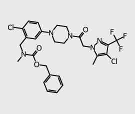 Cc1c(Cl)c(C(F)(F)F)nn1CC(=O)N1CCN(c2ccc(Cl)c(CN(C)C(=O)OCc3ccccc3)c2)CC1